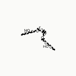 C=CCOCC(O)COCCOC(C)(F)COC(C)(C)C(C)(F)CCOC(C)(C)CCOCC(O)COCC=C